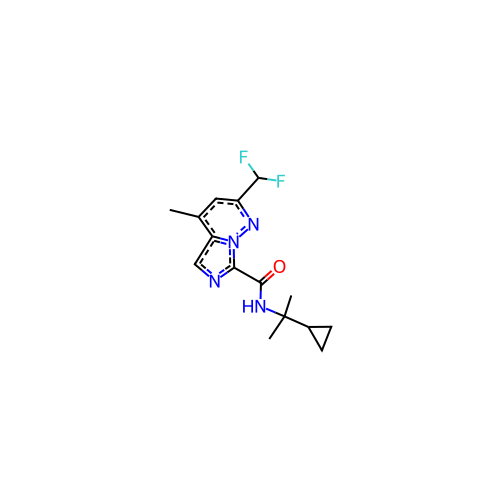 Cc1cc(C(F)F)nn2c(C(=O)NC(C)(C)C3CC3)ncc12